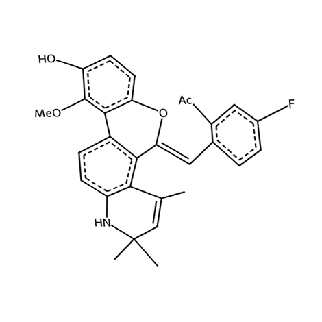 COc1c(O)ccc2c1-c1ccc3c(c1/C(=C/c1ccc(F)cc1C(C)=O)O2)C(C)=CC(C)(C)N3